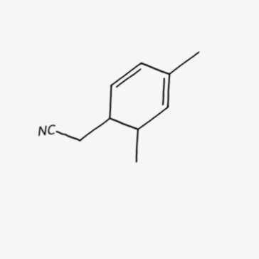 CC1=CC(C)C(CC#N)C=C1